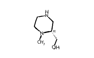 CN1CCNC[C@@H]1CO